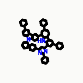 C1=C(c2ccccc2)C=C(c2ccc3c(c2)c2cc(-c4ccccc4)ccc2n3-c2ccccc2)c2[nH]c3c(-c4cc(-c5ccccc5)nc(-c5ccccc5)n4)cc(-c4ccccc4)cc3c2C1